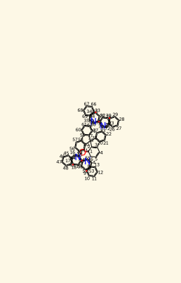 O=C1C2=C(C=CC1N(c1ccccc1)c1ccccc1)c1ccc(N(c3ccccc3)c3ccccc3)cc1C21c2cc(N(c3ccccc3)c3ccccc3)ccc2-c2ccc(N(c3ccccc3)c3ccccc3)cc21